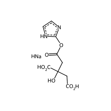 O=C(O)CC(O)(CC(=O)Oc1ncc[nH]1)C(=O)O.[NaH]